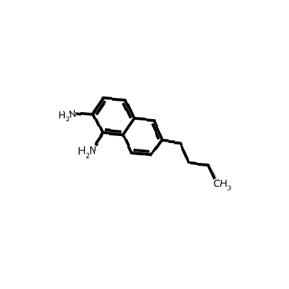 CCCCc1ccc2c(N)c(N)ccc2c1